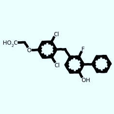 O=C(O)COc1cc(Cl)c(Cc2ccc(O)c(-c3ccccc3)c2F)c(Cl)c1